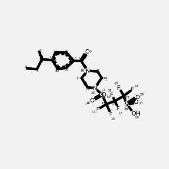 CCC(C)c1ccc(C(=O)N2CCN(S(=O)(=O)C(F)(F)C(F)(F)C(F)(F)S(=O)(=O)O)CC2)cc1